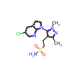 Cc1nn(C)c(-n2ccc3cc(Cl)cnc32)c1CCS(N)(=O)=O